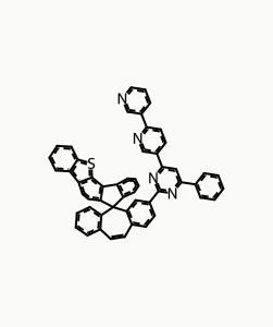 C1=Cc2ccc(-c3nc(-c4ccccc4)cc(-c4ccc(-c5cccnc5)nc4)n3)cc2C2(c3ccccc31)c1ccccc1-c1c2ccc2c1sc1ccccc12